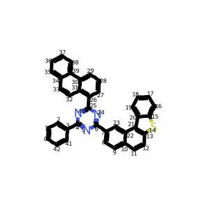 c1ccc(-c2nc(-c3ccc4ccc5sc6ccccc6c5c4c3)nc(-c3cccc4c3ccc3ccccc34)n2)cc1